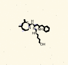 C=C1/C=C(C)\C=C/C/N=C(/NC(=C/C(=N)Cc2ccccc2)/N=C/NCCCCO)S1